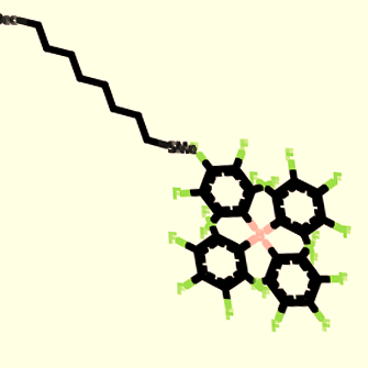 CCCCCCCCCCCCCCCCCC[SH+]C.Fc1c(F)c(F)c([B-](c2c(F)c(F)c(F)c(F)c2F)(c2c(F)c(F)c(F)c(F)c2F)c2c(F)c(F)c(F)c(F)c2F)c(F)c1F